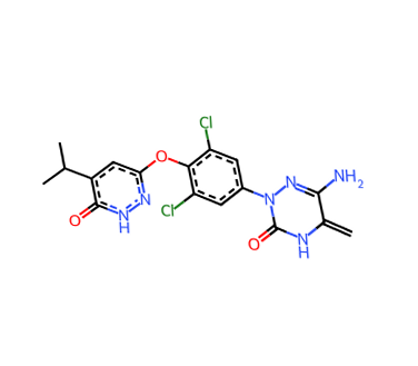 C=C1NC(=O)N(c2cc(Cl)c(Oc3cc(C(C)C)c(=O)[nH]n3)c(Cl)c2)N=C1N